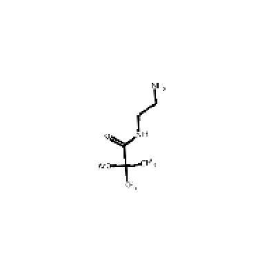 CC(=O)OC(C)(C)C(=O)NCCN